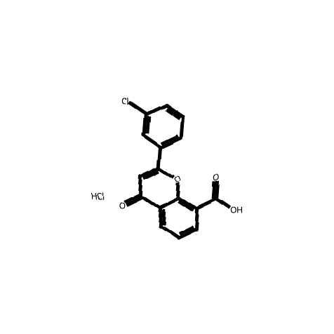 Cl.O=C(O)c1cccc2c(=O)cc(-c3cccc(Cl)c3)oc12